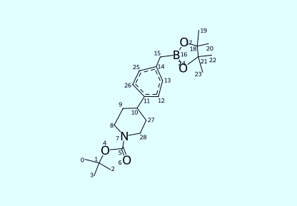 CC(C)(C)OC(=O)N1CCC(c2ccc(CB3OC(C)(C)C(C)(C)O3)cc2)CC1